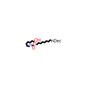 CCCCCCCCCCCCCCCCCCOC(=O)N1CCCCC1CCO